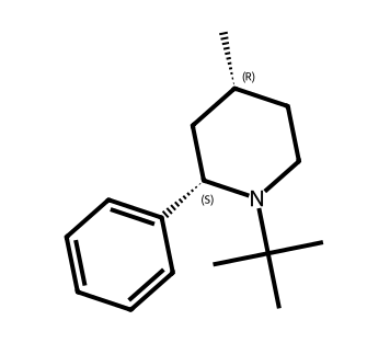 C[C@@H]1CCN(C(C)(C)C)[C@H](c2ccccc2)C1